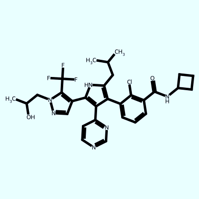 CC(C)Cc1[nH]c(-c2cnn(CC(C)O)c2C(F)(F)F)c(-c2ccncn2)c1-c1cccc(C(=O)NC2CCC2)c1Cl